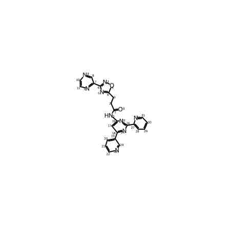 O=C(CCc1nc(-c2cnccn2)no1)Nc1cc(-c2cccnc2)nc(-c2ccccn2)n1